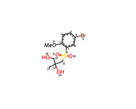 COc1ccc(Br)cc1S(=O)(=O)CC(C)(O)CO